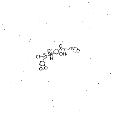 O=C(OCCCN1CCOCC1)c1ccc(N[S+]([O-])c2cc(-c3ccc4c(c3)OCO4)c(Cl)s2)cc1O